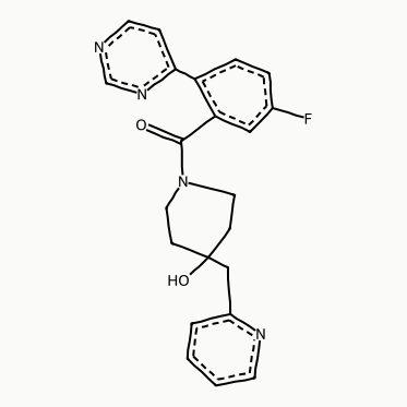 O=C(c1cc(F)ccc1-c1ccncn1)N1CCC(O)(Cc2ccccn2)CC1